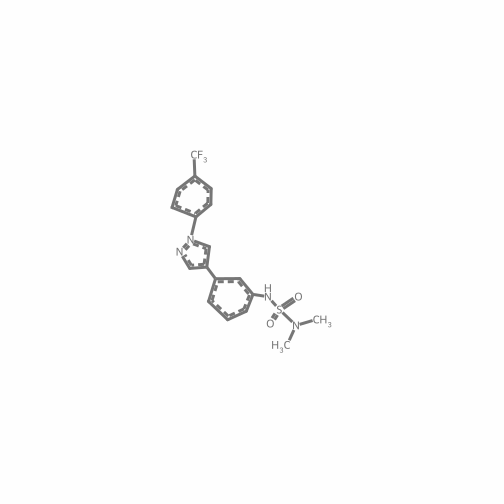 CN(C)S(=O)(=O)Nc1cccc(-c2cnn(-c3ccc(C(F)(F)F)cc3)c2)c1